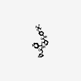 O=C(Cn1ccnc1)NC(Sc1ncccc1C(=O)Nc1ccc(OC(F)(F)F)cc1)c1ccncc1